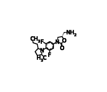 CCCC1CCC(C)N1c1c(F)cc(N2C[C@H](CN)OC2=O)cc1F